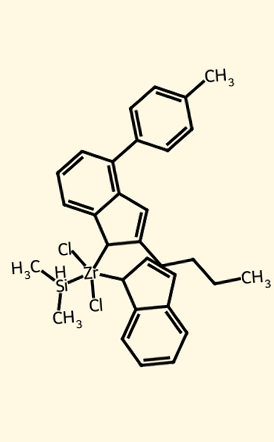 CCCCC1=Cc2c(-c3ccc(C)cc3)cccc2[CH]1[Zr]([Cl])([Cl])([CH]1C=Cc2ccccc21)[SiH](C)C